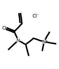 C=CC(=O)N(C)C(C)C[N+](C)(C)C.[Cl-]